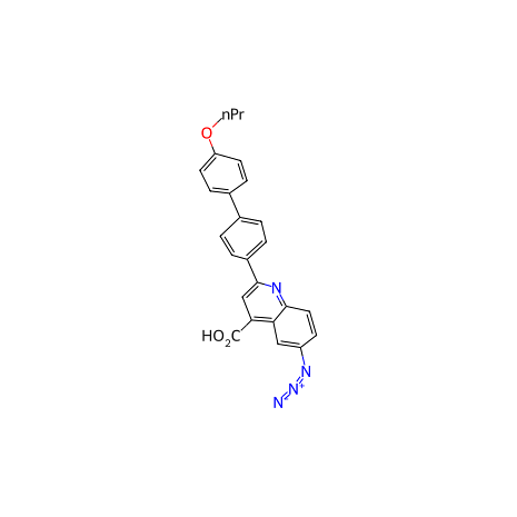 CCCOc1ccc(-c2ccc(-c3cc(C(=O)O)c4cc(N=[N+]=[N-])ccc4n3)cc2)cc1